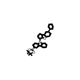 CC1(C)OB(c2ccc3c(c2)c2ccccc2n3-c2cccc3c2oc2ccc(-c4ccccc4)cc23)OC1(C)C